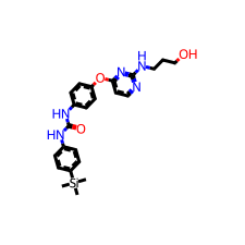 C[Si](C)(C)c1ccc(NC(=O)Nc2ccc(Oc3ccnc(NCCCO)n3)cc2)cc1